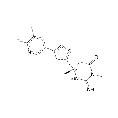 Cc1cc(-c2csc([C@]3(C)CC(=O)N(C)C(=N)N3)c2)cnc1F